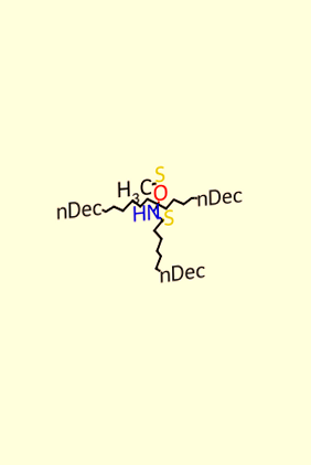 CCCCCCCCCCCCCCCCC(CCCCCCCCCCCCCC)(NC(=S)CCCCCCCCCCCCCCC)OC(C)=S